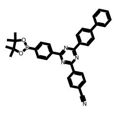 CC1(C)OB(c2ccc(-c3nc(-c4ccc(C#N)cc4)nc(-c4ccc(-c5ccccc5)cc4)n3)cc2)OC1(C)C